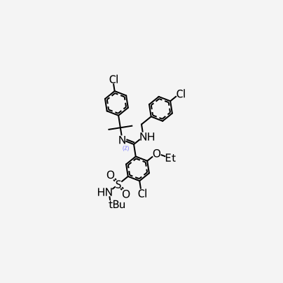 CCOc1cc(Cl)c(S(=O)(=O)NC(C)(C)C)cc1/C(=N/C(C)(C)c1ccc(Cl)cc1)NCc1ccc(Cl)cc1